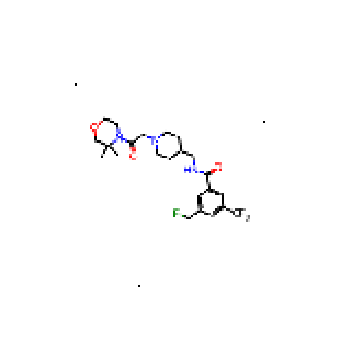 CC1(C)COCCN1C(=O)CN1CCC(CNC(=O)c2cc(CF)cc(C(F)(F)F)c2)CC1